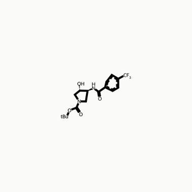 CC(C)(C)OC(=O)N1C[C@H](NC(=O)c2ccc(C(F)(F)F)cc2)[C@@H](O)C1